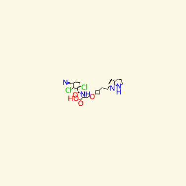 N#Cc1ccc(Cl)c(C(=O)NC(CCOC2CC(CCc3ccc4c(n3)NCCC4)C2)C(=O)O)c1Cl